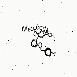 COC(=O)OC1=C(C)NC(C)=CC1c1ccccc1OCc1ccc(F)cc1